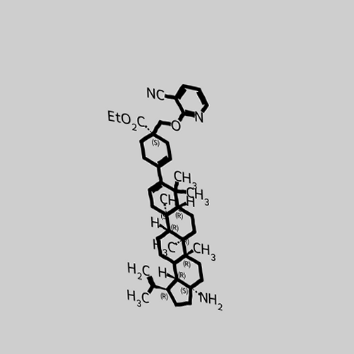 C=C(C)[C@@H]1CC[C@]2(N)CC[C@]3(C)C(CC[C@@H]4[C@@]5(C)CC=C(C6=CC[C@@](COc7ncccc7C#N)(C(=O)OCC)CC6)C(C)(C)[C@@H]5CC[C@]43C)[C@@H]12